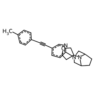 Cc1ccc(C#Cc2ccc(N3CC4CCC(C3)N4C3CCOC3)nc2)cc1